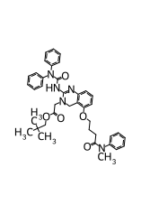 CN(C(=O)CCCOc1cccc2c1CN(CC(=O)OCC(C)(C)C)C(NC(=O)N(c1ccccc1)c1ccccc1)=N2)c1ccccc1